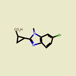 Cn1c(C2CC2C(=O)O)nc2ccc(Br)cc21